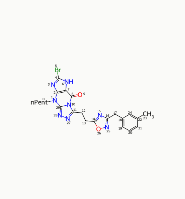 CCCCCn1c2nc(Br)[nH]c2c(=O)n2c(CCc3nc(Cc4cccc(C)c4)no3)nnc12